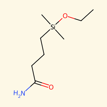 CCO[Si](C)(C)CCCC(N)=O